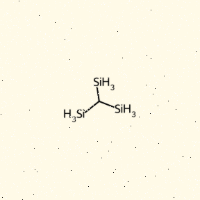 [SiH3]C([SiH3])[SiH3]